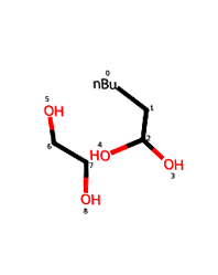 CCCCCC(O)O.OCCO